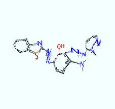 CN(C)c1ccc(/N=N/c2nc3ccccc3s2)c(O)c1/N=N/c1ccnn1C